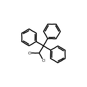 ClC(Cl)C(c1ccccc1)(c1ccccc1)c1ccccc1